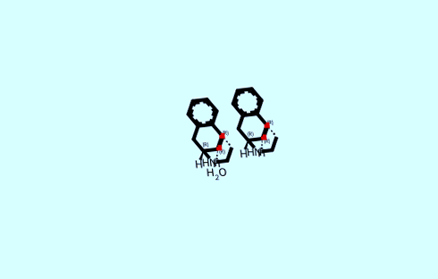 O.c1ccc2c(c1)C[C@H]1NCC[C@@]23CCCC[C@@H]13.c1ccc2c(c1)C[C@H]1NCC[C@@]23CCCC[C@@H]13